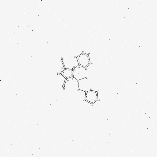 CC(Cc1ccccc1)n1c(=O)[nH]c(=O)n1-c1ccccc1